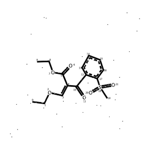 CCOC=C(C(=O)OCC)C(=O)c1ccccc1S(C)(=O)=O